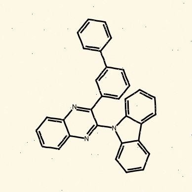 c1ccc(-c2cccc(-c3nc4ccccc4nc3-n3c4ccccc4c4ccccc43)c2)cc1